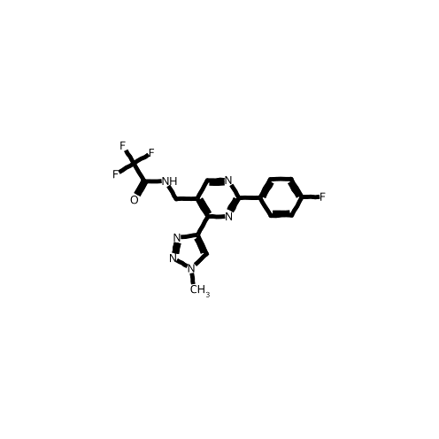 Cn1cc(-c2nc(-c3ccc(F)cc3)ncc2CNC(=O)C(F)(F)F)nn1